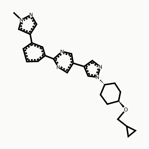 Cn1cc(-c2cccc(-c3ncc(-c4cnn([C@H]5CC[C@H](OCC6CC6)CC5)c4)cn3)c2)cn1